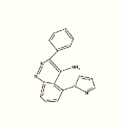 Nc1c(-c2ccccc2)nnc2cccc(-n3cccn3)c12